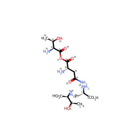 CC(C)[C@H](N)C(=O)O.C[C@@H](O)[C@H](N)C(=O)O.C[C@@H](O)[C@H](N)C(=O)OC(=O)[C@@H](N)CC(N)=O